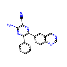 N#Cc1nc(-c2ccc3ncncc3c2)c(-c2ccccc2)nc1N